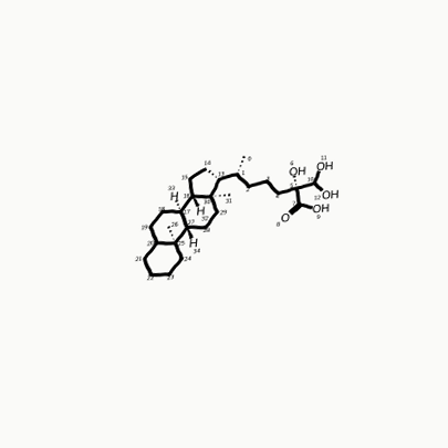 C[C@H](CCC[C@](O)(C(=O)O)C(O)O)[C@H]1CC[C@H]2[C@@H]3CCC4CCCC[C@]4(C)[C@H]3CC[C@]12C